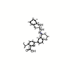 CC(C)c1ccc(-c2ccc3c(c2)/C(=N/NC2Nc4ccccc4S2)CCS3)nc1C(=O)O